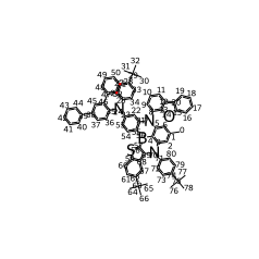 Cc1cc2c3c(c1)N(c1cccc4c1oc1ccccc14)c1cc(N(c4ccc(C(C)(C)C)cc4)c4ccc(-c5ccccc5)cc4-c4ccccc4)ccc1B3c1sc3ccc(C(C)(C)C)cc3c1N2c1ccc(C(C)(C)C)cc1